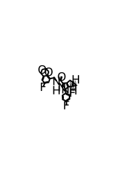 O=C(NCc1cc(F)cc2c1OCOC2)c1nn(-c2ccc(F)cc2F)c2c1C[C@H]1C[C@@H]21